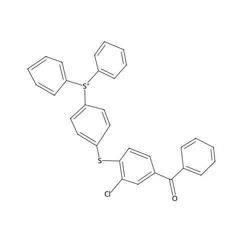 O=C(c1ccccc1)c1ccc(Sc2ccc([S+](c3ccccc3)c3ccccc3)cc2)c(Cl)c1